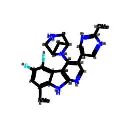 CNc1cc(F)c(F)c2c1[nH]c1ncc(-c3cnc(OC)nc3)c(N3C4CNCC3C4)c12